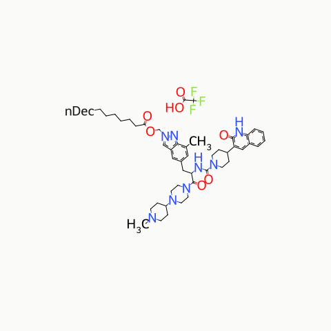 CCCCCCCCCCCCCCCCC(=O)OCn1cc2cc(CC(NC(=O)N3CCC(c4cc5ccccc5[nH]c4=O)CC3)C(=O)N3CCN(C4CCN(C)CC4)CC3)cc(C)c2n1.O=C(O)C(F)(F)F